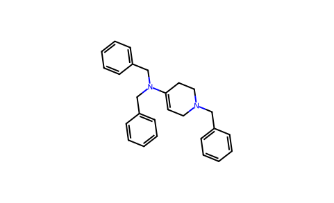 C1=C(N(Cc2ccccc2)Cc2ccccc2)CCN(Cc2ccccc2)C1